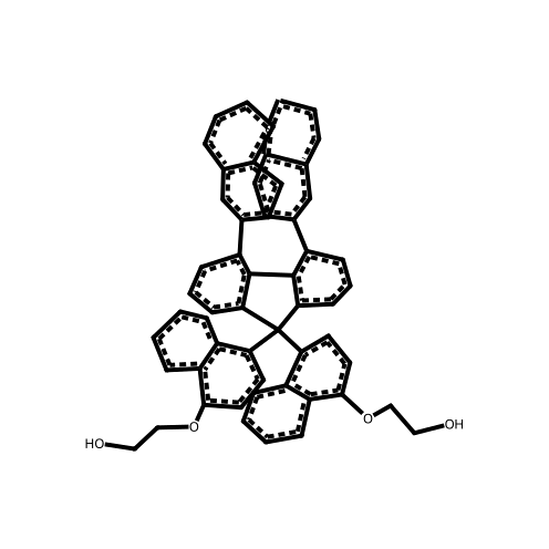 OCCOc1ccc(C2(c3ccc(OCCO)c4ccccc34)c3cccc(-c4ccc5ccccc5c4)c3-c3c(-c4ccc5ccccc5c4)cccc32)c2ccccc12